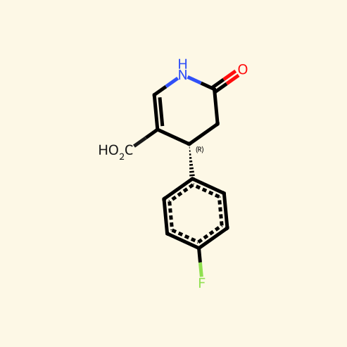 O=C1C[C@H](c2ccc(F)cc2)C(C(=O)O)=CN1